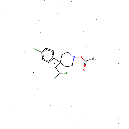 CC(C)(C)C(=O)ON1CCC(CC(F)F)(c2ccc(Cl)cc2)CC1